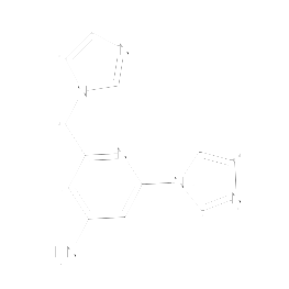 Nc1cc(Cn2ccnc2)nc(-n2ccnc2)c1